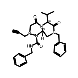 C#CCN1CC(=O)N2[C@@H](C(C)C)C(=O)N(Cc3ccccc3)C[C@@H]2N1C(=O)NCc1ccccc1